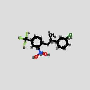 C[C@H](Cc1ccc(C(F)(F)F)cc1[N+](=O)[O-])c1[c]ccc(Cl)c1